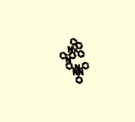 c1ccc(C2=Nc3c(ccc4c3c3ccccc3n4-c3cccc(-c4nc(-c5ccccc5)nc(-c5ccccc5)n4)c3)C2(c2ccccc2)c2ccccc2)cc1